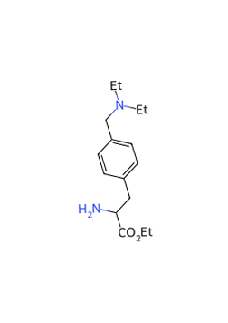 CCOC(=O)C(N)Cc1ccc(CN(CC)CC)cc1